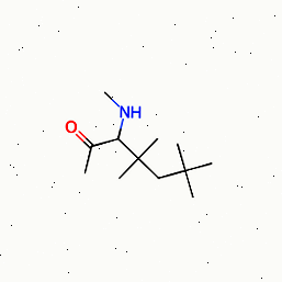 CNC(C(C)=O)C(C)(C)CC(C)(C)C